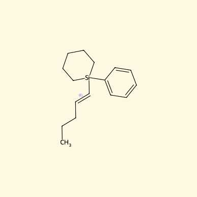 CCC/C=C/[Si]1(c2ccccc2)CCCCC1